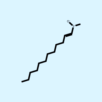 CCCCCCCCCC/C=C/[S+](C)[O-]